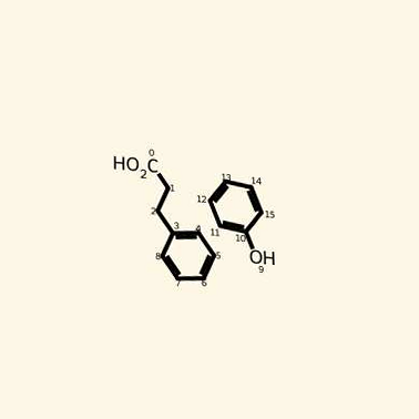 O=C(O)CCc1ccccc1.Oc1ccccc1